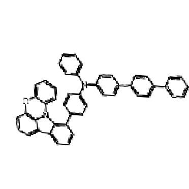 c1ccc(-c2ccc(-c3ccc(N(c4ccccc4)c4ccc(-c5cccc6c7cccc8c7n(c56)-c5ccccc5O8)cc4)cc3)cc2)cc1